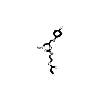 C=CC(=O)OCCNC(=O)OC(COC)CSc1ccc(Cl)cc1